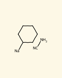 N#CN.[Na][CH]1CCCCC1